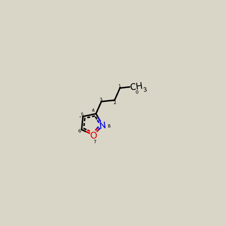 CCCCc1[c]con1